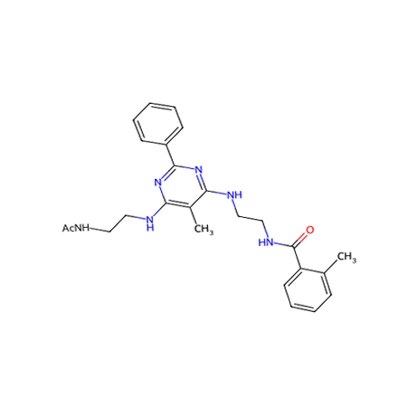 CC(=O)NCCNc1nc(-c2ccccc2)nc(NCCNC(=O)c2ccccc2C)c1C